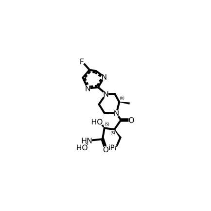 CC(C)C[C@H](C(=O)N1CCN(c2ncc(F)cn2)C[C@H]1C)[C@H](O)C(=O)NO